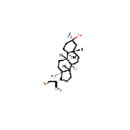 C=C(CBr)[C@H]1CC[C@H]2[C@@H]3CC[C@H]4C[C@](C)(O)CC[C@]4(C)[C@H]3CC[C@]12C